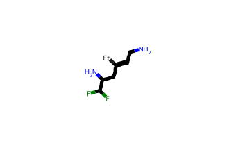 CC/C(=C\CN)CC(N)C(F)F